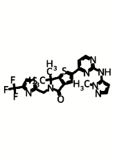 Cn1nccc1Nc1nccc(-c2cc3c(s2)C(C)(C)N(Cc2nc(C(F)(F)F)cs2)C3=O)n1